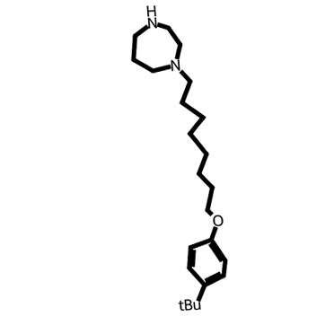 CC(C)(C)c1ccc(OCCCCCCCCN2CCCNCC2)cc1